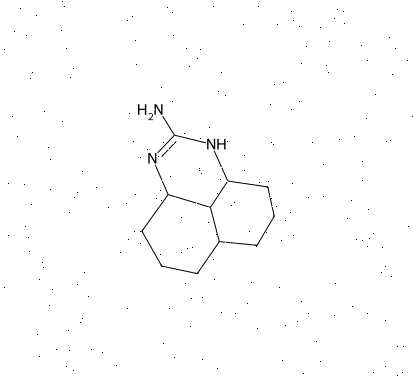 NC1=NC2CCCC3CCCC(N1)C32